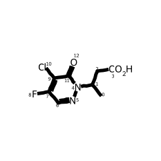 CC(CC(=O)O)n1ncc(F)c(Cl)c1=O